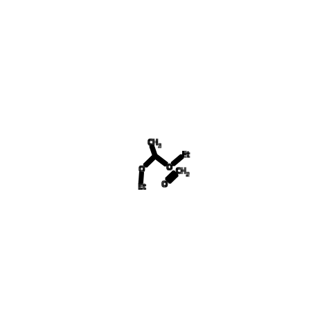 C=O.CCOC(C)OCC